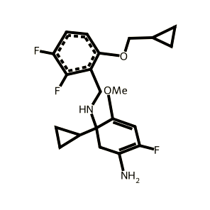 COC1=CC(F)=C(N)CC1(NCc1c(OCC2CC2)ccc(F)c1F)C1CC1